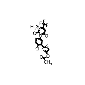 CC(=O)Oc1csc(-c2cc(-n3c(=O)cc(C(F)(F)F)n(C)c3=O)ccc2Cl)n1